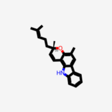 CC(C)=CCC[C@@]1(C)C=Cc2c(c(C)cc3c2[nH]c2ccccc23)O1